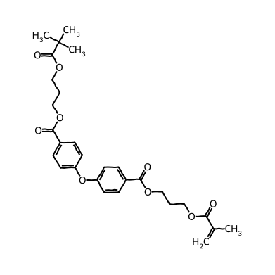 C=C(C)C(=O)OCCCOC(=O)c1ccc(Oc2ccc(C(=O)OCCCOC(=O)C(C)(C)C)cc2)cc1